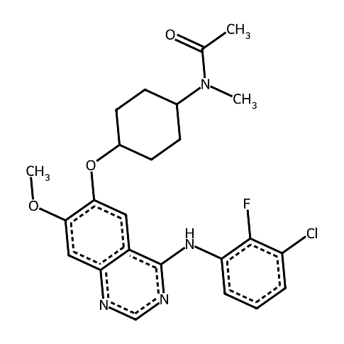 COc1cc2ncnc(Nc3cccc(Cl)c3F)c2cc1OC1CCC(N(C)C(C)=O)CC1